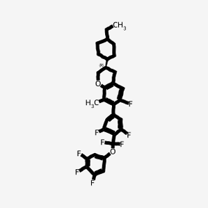 CCC1CCC([C@@H]2COc3c(cc(F)c(-c4cc(F)c(C(F)(F)Oc5cc(F)c(F)c(F)c5)c(F)c4)c3C)C2)CC1